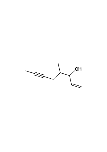 C=CC(O)C(C)CC#CC